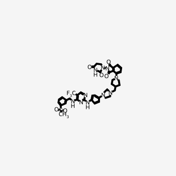 CS(=O)(=O)c1cccc(CNc2nc(Nc3ccc(N4CCN(CC5CCN(c6cccc7c6C(=O)N(N6CCC(=O)NC6=O)C7=O)CC5)CC4)cc3)ncc2C(F)(F)F)c1